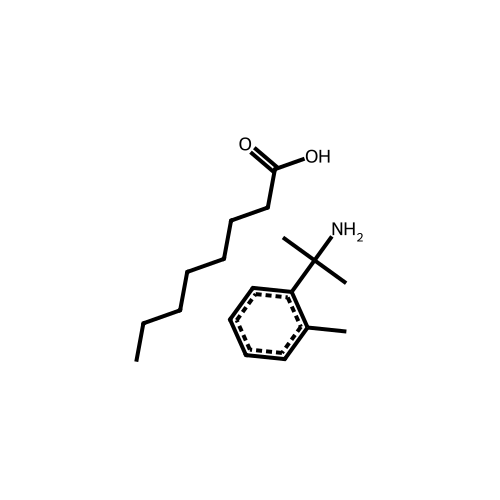 CCCCCCCC(=O)O.Cc1ccccc1C(C)(C)N